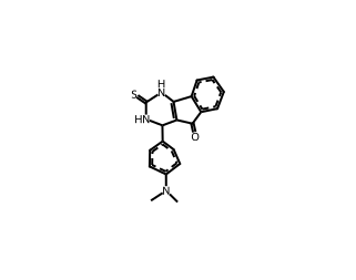 CN(C)c1ccc(C2NC(=S)NC3=C2C(=O)c2ccccc23)cc1